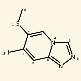 CSc1cn2cnnc2cc1I